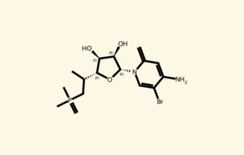 C=C1C=C(N)C(Br)=CN1[C@@H]1O[C@H](C(C)CP(=C)(C)C)[C@@H](O)[C@H]1O